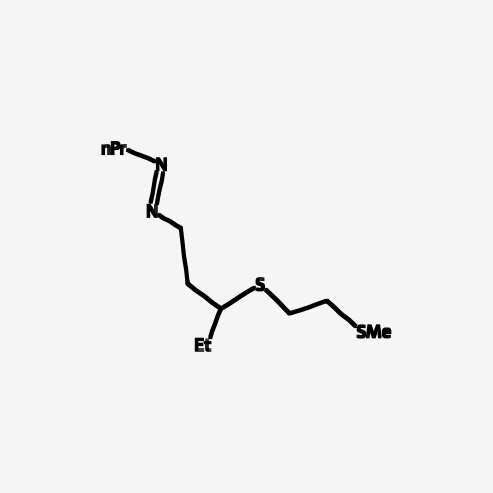 CCCN=NCCC(CC)SCCSC